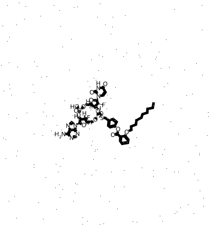 CCCCCCCCCCOc1ccccc1C(=O)Oc1ccc(CSP2(=O)OC[C@H]3O[C@@H](n4cnc5c(N)ncnc54)[C@H](OP(=O)(O)OC[C@H]4O[C@@H](n5ccc(=O)[nH]c5=O)[C@H](F)[C@@H]4O2)[C@@H]3F)cc1